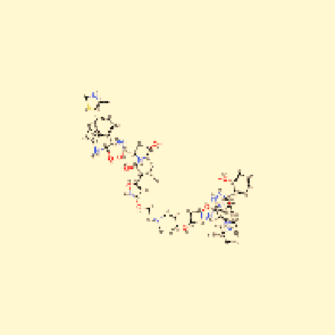 Cc1ncsc1-c1ccc([C@@H](NC(=O)[C@@H]2C[C@@H](O)CN2C(=O)[C@@H](c2cc(OCCN3CCC(OC4CC(Oc5cc(N6C7CC[C@@H]6CN(c6cc(-c8ccccc8O)nnc6N)C7)ccn5)C4)CC3)no2)C(C)C)C(=O)N(C)C2CCC2)cc1